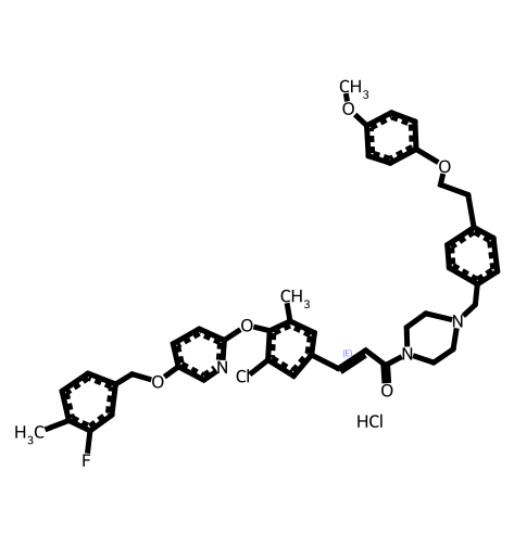 COc1ccc(OCCc2ccc(CN3CCN(C(=O)/C=C/c4cc(C)c(Oc5ccc(OCc6ccc(C)c(F)c6)cn5)c(Cl)c4)CC3)cc2)cc1.Cl